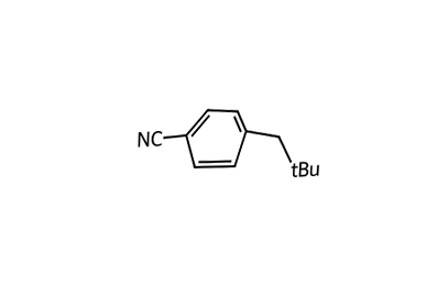 CC(C)(C)Cc1ccc(C#N)cc1